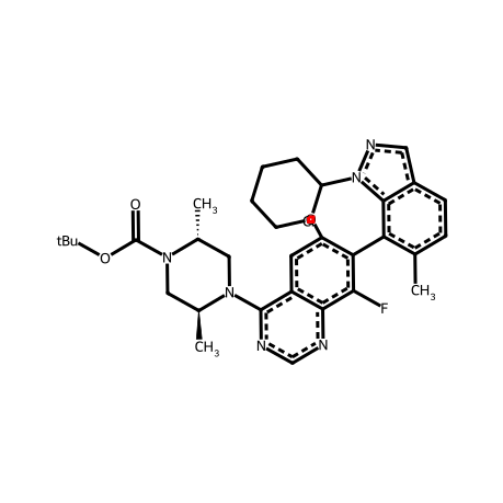 Cc1ccc2cnn(C3CCCCO3)c2c1-c1c(Cl)cc2c(N3C[C@@H](C)N(C(=O)OC(C)(C)C)C[C@@H]3C)ncnc2c1F